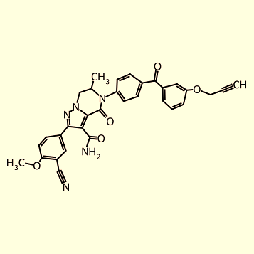 C#CCOc1cccc(C(=O)c2ccc(N3C(=O)c4c(C(N)=O)c(-c5ccc(OC)c(C#N)c5)nn4CC3C)cc2)c1